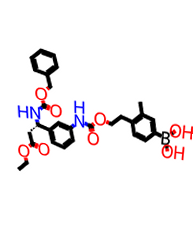 CCOC(=O)C[C@H](NC(=O)OCc1ccccc1)c1cccc(NC(=O)OCCc2ccc(B(O)O)cc2C)c1